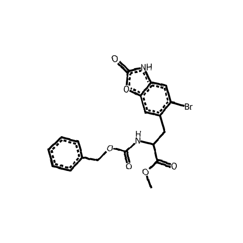 COC(=O)C(Cc1cc2oc(=O)[nH]c2cc1Br)NC(=O)OCc1ccccc1